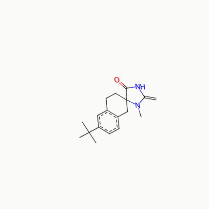 C=C1NC(=O)C2(CCc3cc(C(C)(C)C)ccc3C2)N1C